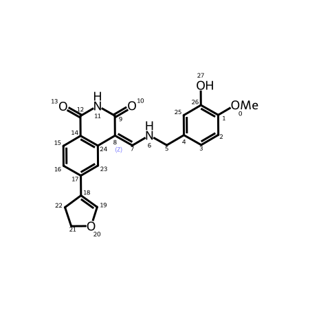 COc1ccc(CN/C=C2\C(=O)NC(=O)c3ccc(C4=COCC4)cc32)cc1O